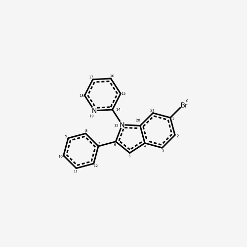 Brc1ccc2cc(-c3ccccc3)n(-c3ccccn3)c2c1